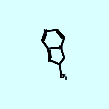 FC(F)(F)C1CN2C=CN=CC2=N1